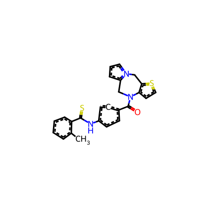 Cc1ccccc1C(=S)Nc1ccc(C(=O)N2Cc3cccn3Cc3sccc32)cc1